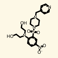 O=[N+]([O-])c1ccc(N(CCO)CCO)c(S(=O)(=O)N2CCN(Cc3ccncc3)CC2)c1